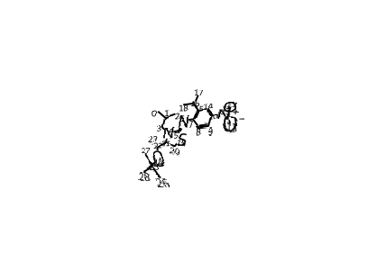 CC(C)CN1/C(=N/c2ccc([N+](=O)[O-])cc2C(C)C)SC[C@H]1[C@@H](C)OC(C)(C)C